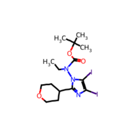 CCN(C(=O)OC(C)(C)C)n1c(C2CCOCC2)nc(I)c1I